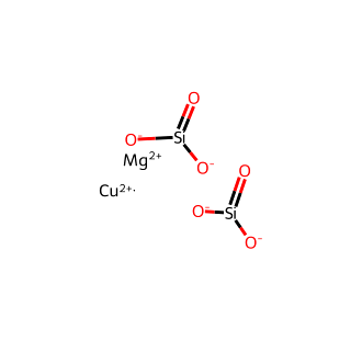 O=[Si]([O-])[O-].O=[Si]([O-])[O-].[Cu+2].[Mg+2]